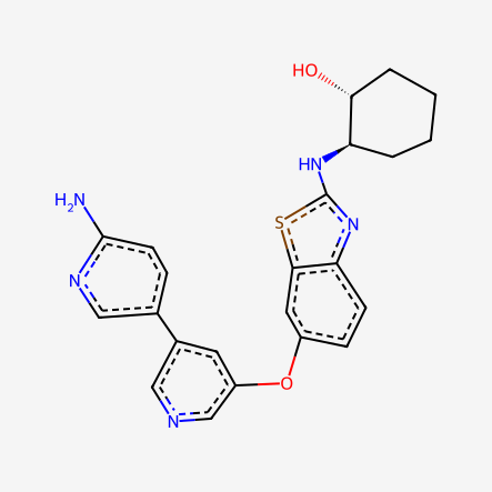 Nc1ccc(-c2cncc(Oc3ccc4nc(N[C@@H]5CCCC[C@H]5O)sc4c3)c2)cn1